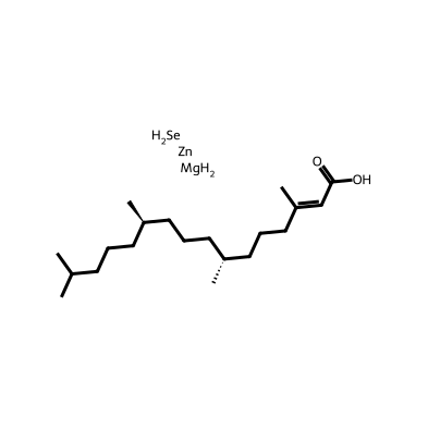 C/C(=C\C(=O)O)CCC[C@H](C)CCC[C@H](C)CCCC(C)C.[MgH2].[SeH2].[Zn]